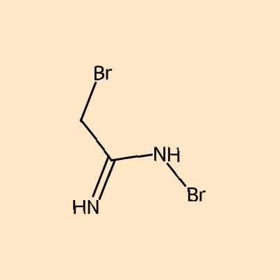 N=C(CBr)NBr